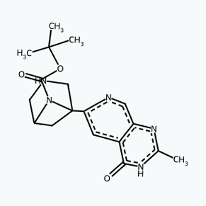 Cc1nc2cnc(C34CNCC(C3)N4C(=O)OC(C)(C)C)cc2c(=O)[nH]1